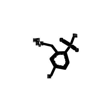 CCS(=O)(=O)c1ccc(Br)cc1CN.Cl